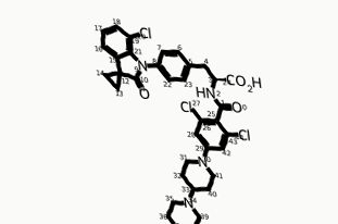 O=C(N[C@@H](Cc1ccc(N2C(=O)C3(CC3)c3cccc(Cl)c32)cc1)C(=O)O)c1c(Cl)cc(N2CCC(N3CCOCC3)CC2)cc1Cl